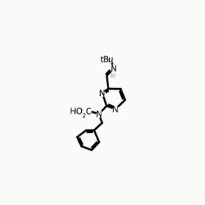 CC(C)(C)/N=C/c1ccnc(N(Cc2ccccc2)C(=O)O)n1